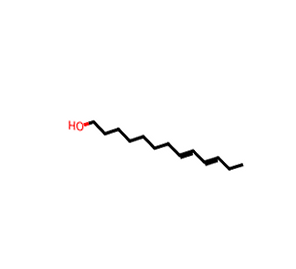 CCC=CC=CCCCCCCCO